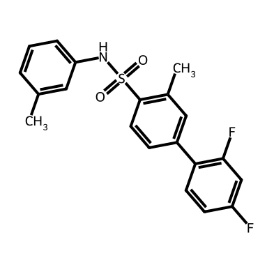 Cc1cccc(NS(=O)(=O)c2ccc(-c3ccc(F)cc3F)cc2C)c1